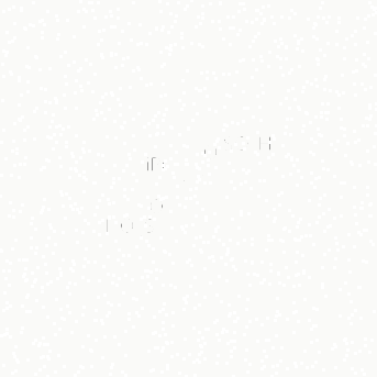 CC(C)c1c(OS(=O)(=O)O)cccc1OS(=O)(=O)O